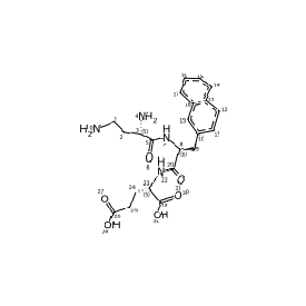 NCC[C@H](N)C(=O)N[C@@H](Cc1ccc2ccccc2c1)C(=O)N[C@@H](CCC(=O)O)C(=O)O